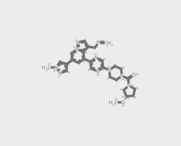 C=NCc1cnn2cc(-c3cnn(C)c3)cc(-c3cnc(N4CCN(C(=O)N5CC[C@H](OC)C5)CC4)cn3)c12